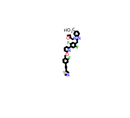 O=C(O)c1ccc2nc(Cc3cc(F)c(-c4cccc(OCc5ccc(C#Cc6cncs6)cc5F)n4)cc3F)n(CC3CCO3)c2c1